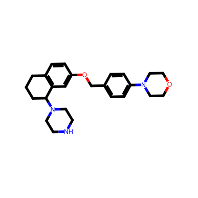 c1cc(N2CCOCC2)ccc1COc1ccc2c(c1)C(N1CCNCC1)CCC2